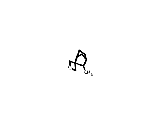 CC1C2CCC(C2)C12COC2